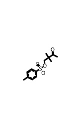 CC(=O)C(C)(C)COS(=O)(=O)c1ccc(C)cc1